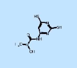 CN(O)C(=O)Nc1cc(S)nc(S)n1